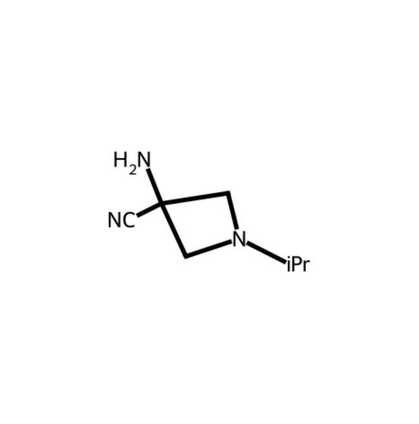 CC(C)N1CC(N)(C#N)C1